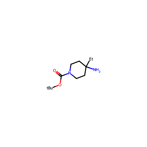 CCC1(N)CCN(C(=O)OC(C)(C)C)CC1